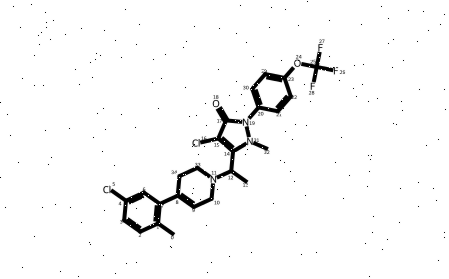 Cc1ccc(Cl)cc1C1=CCN(C(C)c2c(Cl)c(=O)n(-c3ccc(OC(F)(F)F)cc3)n2C)CC1